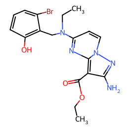 CCOC(=O)c1c(N)nn2ccc(N(CC)Cc3c(O)cccc3Br)nc12